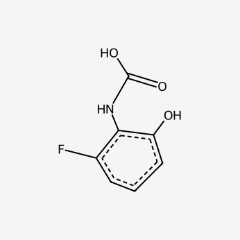 O=C(O)Nc1c(O)cccc1F